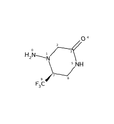 NN1CC(=O)NC[C@H]1C(F)(F)F